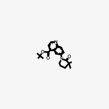 CC(C)(C)OC(=O)c1ccnc2ccc(N3CCCC(C)(C)C3=O)cc12